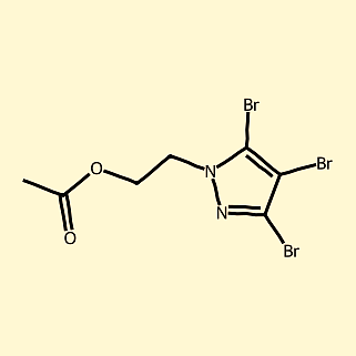 CC(=O)OCCn1nc(Br)c(Br)c1Br